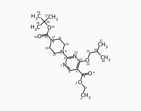 CCOC(=O)c1cnc(N2CCN(C(=O)OC(C)(C)C)CC2)nc1OCC(C)C